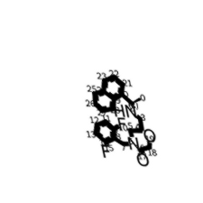 C[C@@H](NCC1CN(Cc2c(F)cccc2F)C(=O)CO1)c1cccc2ccccc12